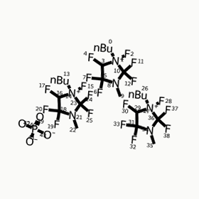 CCCC[N+]1(F)C(F)C(F)(F)N(C)C1(F)F.CCCC[N+]1(F)C(F)C(F)(F)N(C)C1(F)F.CCCC[N+]1(F)C(F)C(F)(F)N(C)C1(F)F.O=P([O-])([O-])[O-]